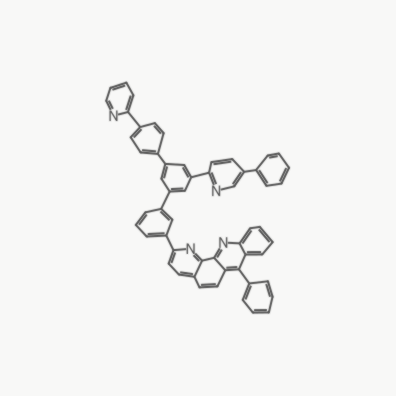 c1ccc(-c2ccc(-c3cc(-c4ccc(-c5ccccn5)cc4)cc(-c4cccc(-c5ccc6ccc7c(-c8ccccc8)c8ccccc8nc7c6n5)c4)c3)nc2)cc1